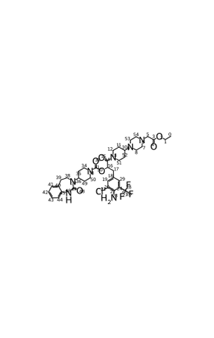 CCOC(=O)CN1CCN(C2CCN(C(=O)C(Cc3cc(Cl)c(N)c(C(F)(F)F)c3)OC(=O)N3CCC(N4CCc5ccccc5NC4=O)CC3)CC2)CC1